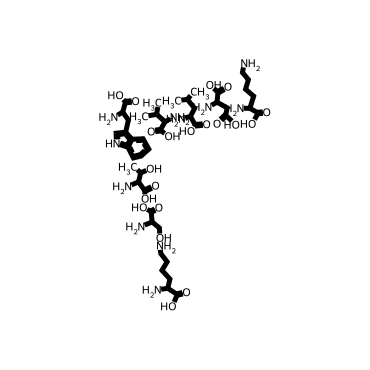 CC(C)C(N)C(=O)O.CC(C)CC(N)C(=O)O.CC(O)C(N)C(=O)O.NC(CC(=O)O)C(=O)O.NC(CO)C(=O)O.NC(Cc1c[nH]c2ccccc12)C(=O)O.NCCCCC(N)C(=O)O.NCCCCC(N)C(=O)O